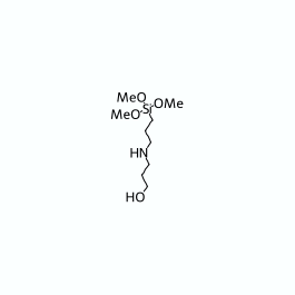 CO[Si](CCCNCCCO)(OC)OC